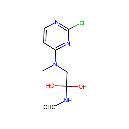 CN(CC(O)(O)NC=O)c1ccnc(Cl)n1